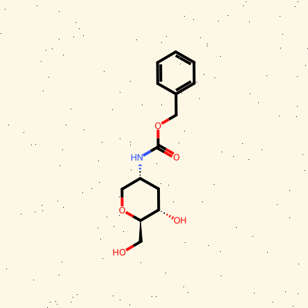 O=C(N[C@H]1CO[C@H](CO)[C@@H](O)C1)OCc1ccccc1